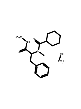 CONC(=O)C(Cc1ccccc1)N(C)C(=O)C1CCCCC1.O=C(O)O